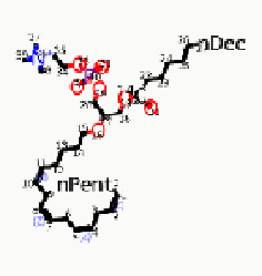 CCCCC/C=C\C/C=C\C/C=C\C/C=C\CCCCO[C@H](CO[14C](=O)CCCCCCCCCCCCCCC)COP(=O)([O-])OCC[N+](C)(C)C